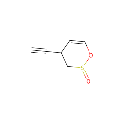 C#CC1C=COS(=O)C1